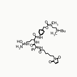 CC(C)[C@H](NC(=O)CCCCCN1C(=O)C=CC1=O)C(=O)N[C@@H](CCCNC(N)O)C(=O)Nc1ccc(COC(=O)N(C)CCN(C)C(C)(C)C)cc1